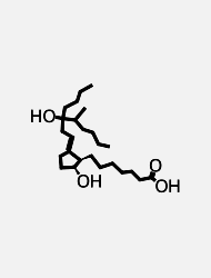 CCCCC(C)C(O)(CC=C1CC[C@H](O)[C@@H]1CCCCCCC(=O)O)CCCC